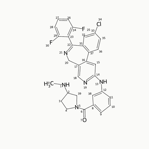 CNC1CCN(C(=O)c2cccc(Nc3cc4c(cn3)CN=C(c3c(F)cccc3F)c3cc(Cl)ccc3-4)c2)C1